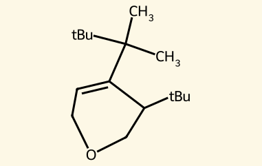 CC(C)(C)C1COCC=C1C(C)(C)C(C)(C)C